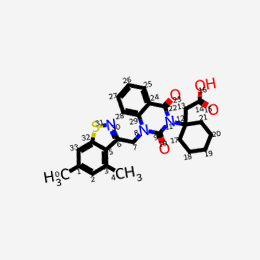 Cc1cc(C)c2c(Cn3c(=O)n(C4(CC(=O)O)CCCCC4)c(=O)c4ccccc43)nsc2c1